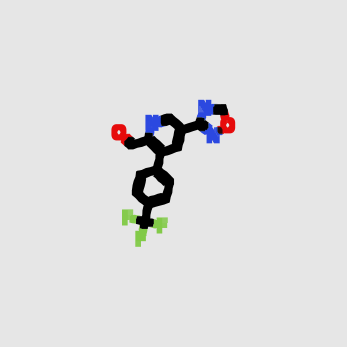 O=Cc1ncc(-c2ncon2)cc1-c1ccc(C(F)(F)F)cc1